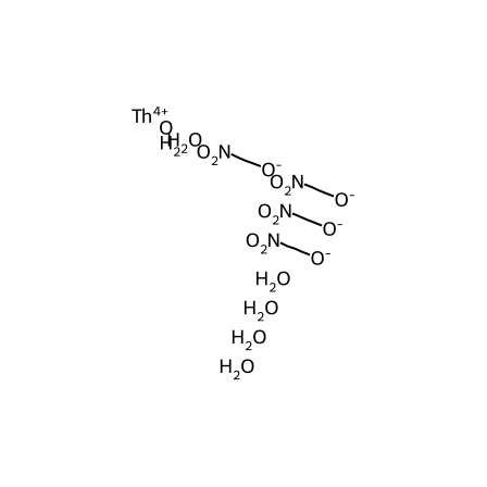 O.O.O.O.O.O.O=[N+]([O-])[O-].O=[N+]([O-])[O-].O=[N+]([O-])[O-].O=[N+]([O-])[O-].[Th+4]